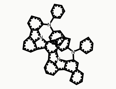 c1ccc(N(c2ccccc2)c2cccc3c4cccc5c6c7c8cccc9c%10c%11ccccc%11cc(N(c%11ccccc%11)c%11ccccc%11)c%10n(c7ncc6n(c23)c45)c89)cc1